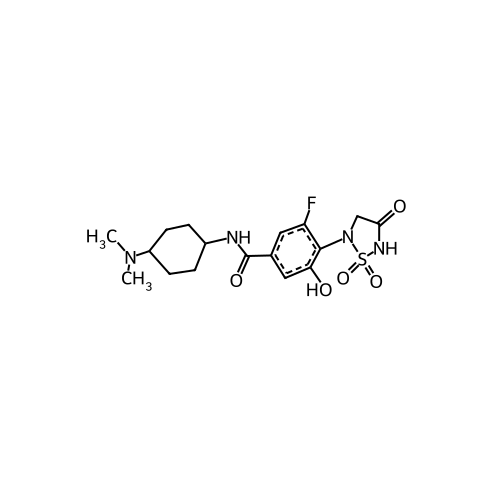 CN(C)C1CCC(NC(=O)c2cc(O)c(N3CC(=O)NS3(=O)=O)c(F)c2)CC1